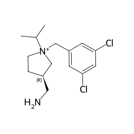 CC(C)[N+]1(Cc2cc(Cl)cc(Cl)c2)CC[C@H](CN)C1